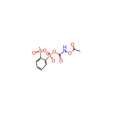 CC(=O)ONC(=O)OS(=O)(=O)c1ccccc1S(C)(=O)=O